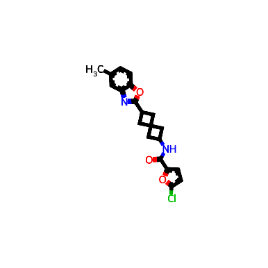 Cc1ccc2oc(C3CC4(CC(NC(=O)c5ccc(Cl)o5)C4)C3)nc2c1